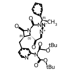 C[C@@H](NC(=O)N1C(=O)[C@H](Cc2ccnc(N(C(=O)OC(C)(C)C)C(=O)OC(C)(C)C)c2)[C@H]1C(=O)C=[N+]=[N-])c1ccccc1